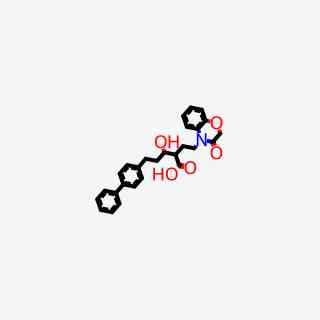 O=C(O)C(CCN1C(=O)COc2ccccc21)C(O)CCc1ccc(-c2ccccc2)cc1